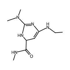 CCNC1=CC(C(=O)NC)NC(N(C)C)=N1